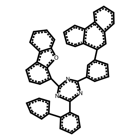 c1ccc(-c2ccccc2-c2nc(-c3cccc(-c4cc5ccccc5c5ccccc45)c3)nc(-c3cccc4c3oc3ccccc34)n2)cc1